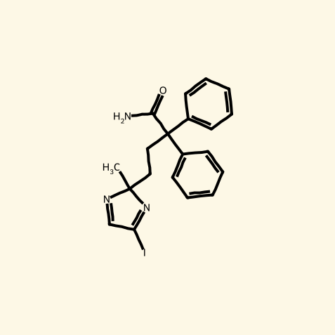 CC1(CCC(C(N)=O)(c2ccccc2)c2ccccc2)N=CC(I)=N1